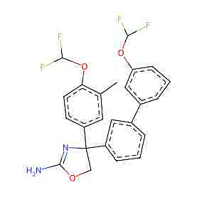 Cc1cc(C2(c3cccc(-c4cccc(OC(F)F)c4)c3)COC(N)=N2)ccc1OC(F)F